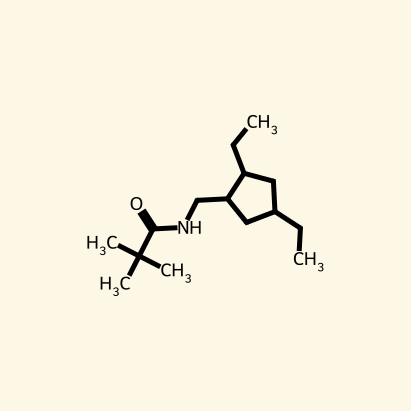 CCC1CC(CC)C(CNC(=O)C(C)(C)C)C1